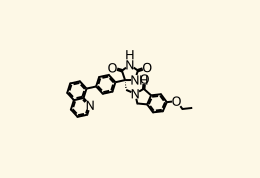 CCOc1ccc2c(c1)C(=O)N(C[C@@]1(c3ccc(-c4cccc5cccnc45)cc3)NC(=O)NC1=O)C2